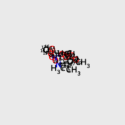 CCC(C)C(C#N)(CCC(O)C(CC1Oc2ccccc2O1)[N+](=O)[O-])c1ccc(OC)c(OC)c1OC